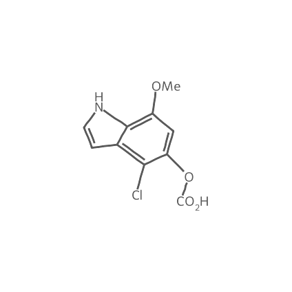 COc1cc(OC(=O)O)c(Cl)c2cc[nH]c12